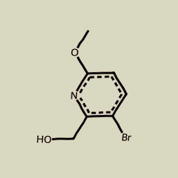 COc1ccc(Br)c(CO)n1